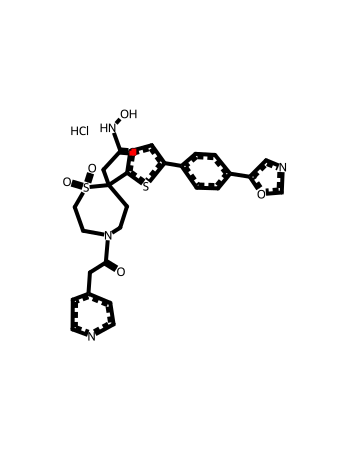 Cl.O=C(CC1(c2ccc(-c3ccc(-c4cnco4)cc3)s2)CCN(C(=O)Cc2ccncc2)CCS1(=O)=O)NO